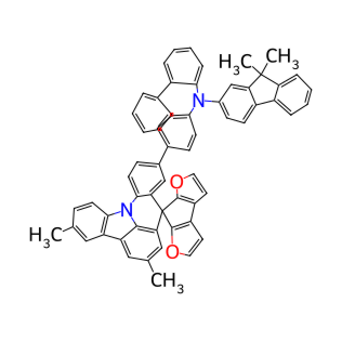 Cc1ccc2c(c1)c1cc(C)cc3c1n2-c1ccc(-c2ccc(N(c4ccc5c(c4)C(C)(C)c4ccccc4-5)c4ccccc4-c4ccccc4)cc2)cc1C31c2occc2-c2ccoc21